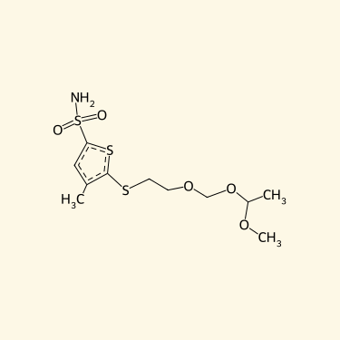 COC(C)OCOCCSc1sc(S(N)(=O)=O)cc1C